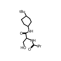 CC(C)C(=O)NC(CO)C(=O)NC1CCC(C(C)(C)C)CC1